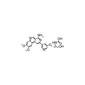 COc1cc2ncc3c(N)nc(-c4cncc(OC[C@@H](CO)NC(=O)O)c4)cc3c2cc1OC